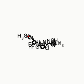 Cc1c(/C(N)=C/N(N)c2cc(C(=O)Nc3cc(CN4CC5CC4CN5C)cc(C(F)(F)F)c3)ccc2Cl)cnn1C